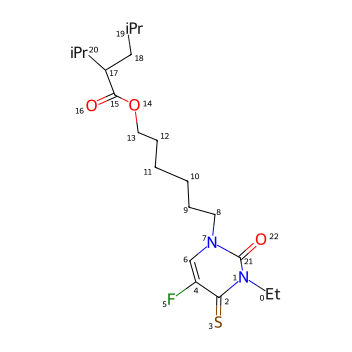 CCn1c(=S)c(F)cn(CCCCCCOC(=O)C(CC(C)C)C(C)C)c1=O